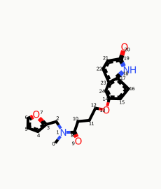 CN(Cc1ccco1)C(=O)CCCOc1ccc2[nH]c(=O)ccc2c1